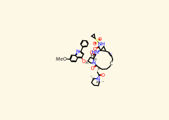 COc1ccc2c(O[C@@H]3C[C@H]4C(=O)NC5(C(=O)NS(=O)(=O)C6CC6)CC5/C=C\CCCCC[C@H](CC(=O)N5[C@H](C)CCC[C@@H]5C)C(=O)N4C3)cc(-c3ccccc3)nc2c1